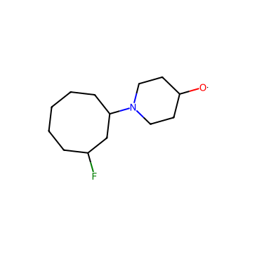 [O]C1CCN(C2CCCCCC(F)C2)CC1